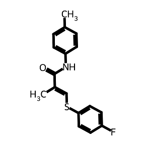 C/C(=C\Sc1ccc(F)cc1)C(=O)Nc1ccc(C)cc1